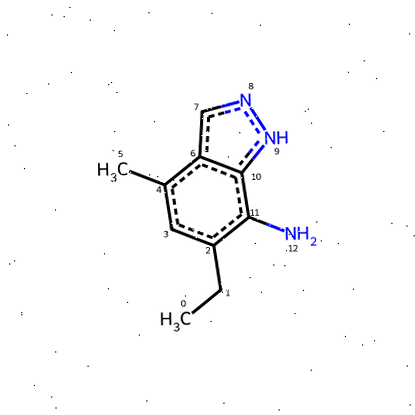 CCc1cc(C)c2cn[nH]c2c1N